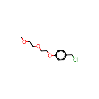 COCCOCCOc1ccc(CCl)cc1